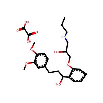 CCCNCC(O)COc1ccccc1C(O)CCc1ccc(OC)c(OC)c1.O=C(O)C(=O)O